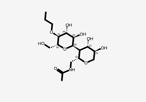 CCCO[C@H]1[C@H](O)[C@@H](O)[C@@H](C2[C@@H](CNC(C)=O)OC[C@H](O)[C@H]2O)O[C@@H]1CO